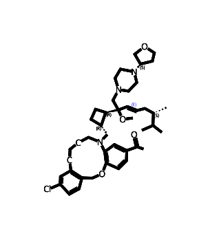 COC(/C=C/C[C@H](C)C(C)C)(CN1CCN([C@H]2CCOC2)CC1)[C@@H]1CC[C@H]1CN1CCCCc2cc(Cl)ccc2COc2ccc(C(C)=O)cc21